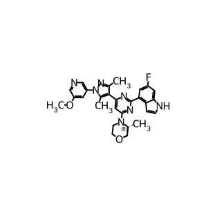 COc1cncc(-n2nc(C)c(-c3cc(N4CCOC[C@H]4C)nc(-c4cc(F)cc5[nH]ccc45)n3)c2C)c1